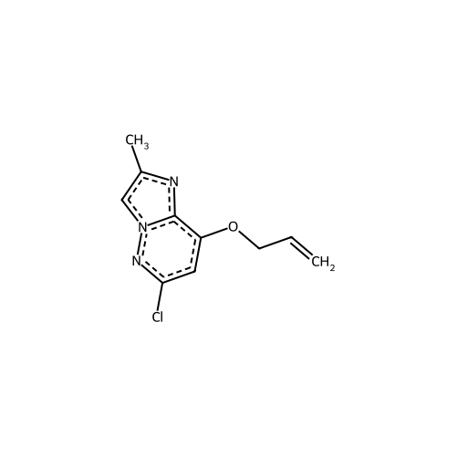 C=CCOc1cc(Cl)nn2cc(C)nc12